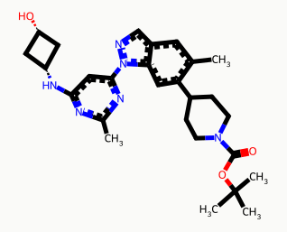 Cc1nc(N[C@H]2C[C@@H](O)C2)cc(-n2ncc3cc(C)c(C4CCN(C(=O)OC(C)(C)C)CC4)cc32)n1